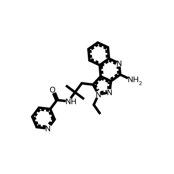 CCn1nc2c(N)nc3ccccc3c2c1CC(C)(C)NC(=O)c1cccnc1